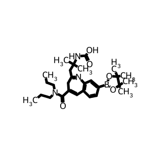 CCCN(CCC)C(=O)C1=Cc2ccc(B3OC(C)(C)C(C)(C)O3)cc2N=C(CC(C)(C)NC(=O)O)C1